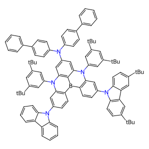 CC(C)(C)c1cc(N2c3cc(-n4c5ccccc5c5ccccc54)ccc3B3c4ccc(-n5c6ccc(C(C)(C)C)cc6c6cc(C(C)(C)C)ccc65)cc4N(c4cc(C(C)(C)C)cc(C(C)(C)C)c4)c4cc(N(c5ccc(-c6ccccc6)cc5)c5ccc(-c6ccccc6)cc5)cc2c43)cc(C(C)(C)C)c1